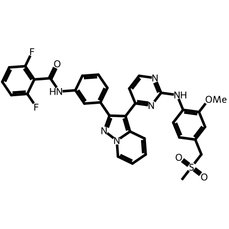 COc1cc(CS(C)(=O)=O)ccc1Nc1nccc(-c2c(-c3cccc(NC(=O)c4c(F)cccc4F)c3)nn3ccccc23)n1